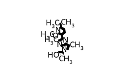 CC[C@H](CO)n1cc(C)c2nc(-c3ccc(C(C)C)nc3OC)c(C)nc21